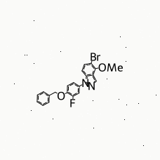 COc1c(Br)ccc2c1cnn2-c1ccc(OCc2ccccc2)c(F)c1